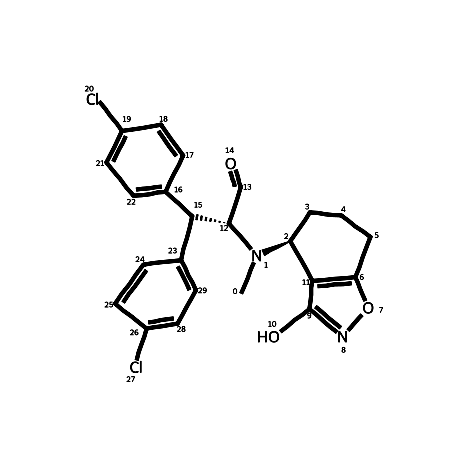 CN([C@H]1CCCc2onc(O)c21)[C@@H](C=O)C(c1ccc(Cl)cc1)c1ccc(Cl)cc1